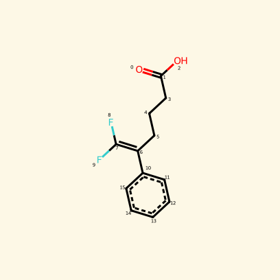 O=C(O)CCCC(=C(F)F)c1ccccc1